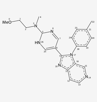 COCCN(C)C1N=CC(c2nc3ccncc3n2-c2ccc(C)cc2)=CN1